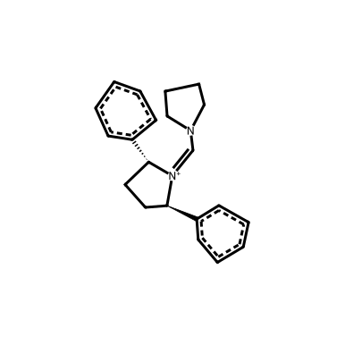 C(N1CCCC1)=[N+]1[C@@H](c2ccccc2)CC[C@@H]1c1ccccc1